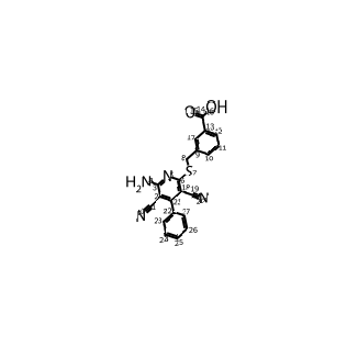 N#Cc1c(N)nc(SCc2cccc(C(=O)O)c2)c(C#N)c1-c1ccccc1